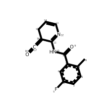 Cc1ccc(F)cc1C(=O)NC1=NC=CCC1=C=O